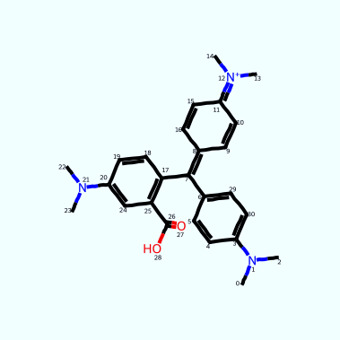 CN(C)c1ccc(C(=C2C=CC(=[N+](C)C)C=C2)c2ccc(N(C)C)cc2C(=O)O)cc1